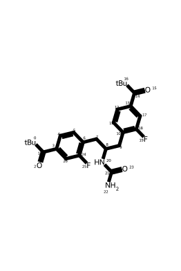 CC(C)(C)C(=O)c1ccc(CC(Cc2ccc(C(=O)C(C)(C)C)cc2F)NC(N)=O)c(F)c1